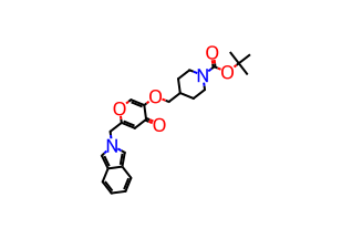 CC(C)(C)OC(=O)N1CCC(COc2coc(Cn3cc4ccccc4c3)cc2=O)CC1